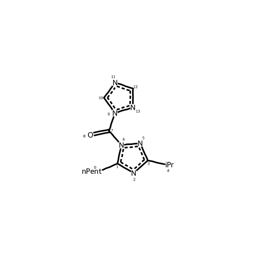 CCCCCc1nc(C(C)C)nn1C(=O)n1cncn1